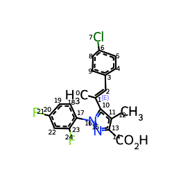 C/C(=C\c1ccc(Cl)cc1)c1c(C)c(C(=O)O)nn1-c1ccc(F)cc1F